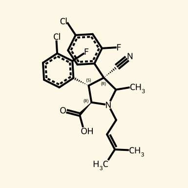 CC(C)=CCN1C(C)[C@](C#N)(c2ccc(Cl)cc2F)[C@@H](c2cccc(Cl)c2F)[C@@H]1C(=O)O